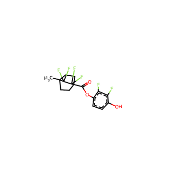 CC12CCC(C(=O)Oc3ccc(O)c(F)c3F)(CC1)C(F)(F)C2(F)F